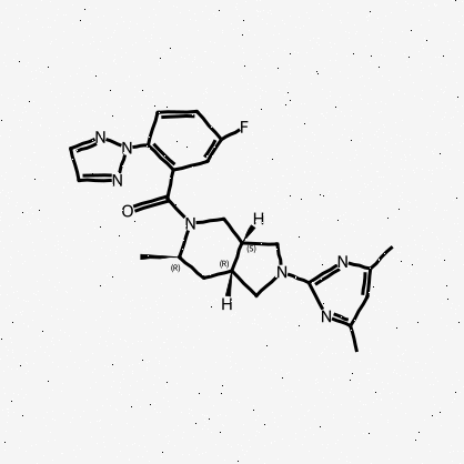 Cc1cc(C)nc(N2C[C@@H]3C[C@@H](C)N(C(=O)c4cc(F)ccc4-n4nccn4)C[C@@H]3C2)n1